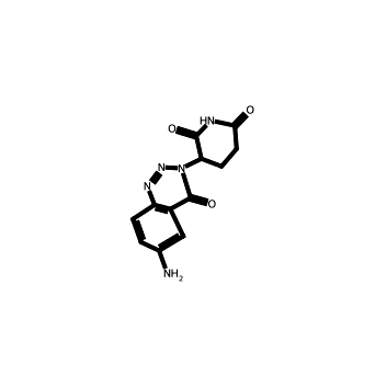 Nc1ccc2nnn(C3CCC(=O)NC3=O)c(=O)c2c1